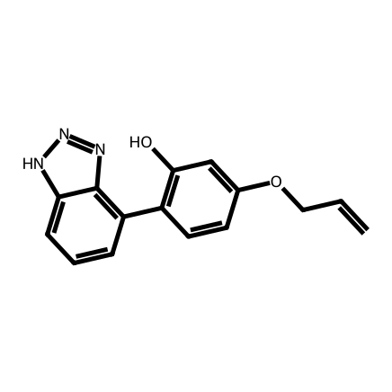 C=CCOc1ccc(-c2cccc3[nH]nnc23)c(O)c1